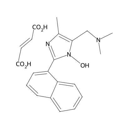 Cc1nc(-c2cccc3ccccc23)n(O)c1CN(C)C.O=C(O)C=CC(=O)O